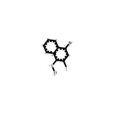 CCSc1c(I)cc(Br)c2ccccc12